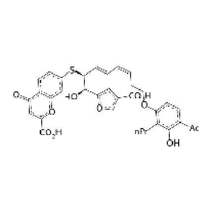 CCCc1c(OCC/C=C\C=C\[C@H](Sc2ccc3c(=O)cc(C(=O)O)oc3c2)[C@H](O)c2cc(C(=O)O)co2)ccc(C(C)=O)c1O